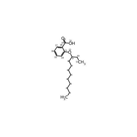 CCCCCCCCCC(CC)Oc1ccccc1C(=O)O